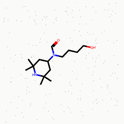 CC1(C)CC(N(C=O)CCCCO)CC(C)(C)N1